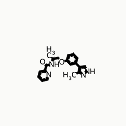 Cc1n[nH]cc1-c1c[c]cc(OC[C@@H](C)NC(=O)c2ccccn2)c1